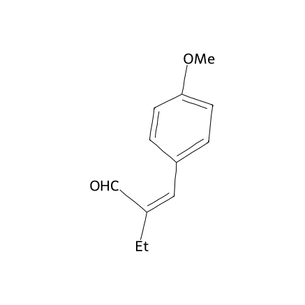 CCC(C=O)=Cc1ccc(OC)cc1